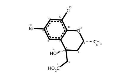 C[C@@H]1C[C@@](O)(CC(=O)O)c2cc(Br)cc(Cl)c2O1